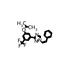 CC(C)Oc1cc(-c2ncn(/C=C\c3ccccc3)n2)cc(C(F)(F)F)c1